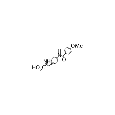 COc1ccc(C(=O)Nc2ccc(C[C@@H](N)C(=O)O)cc2)cc1